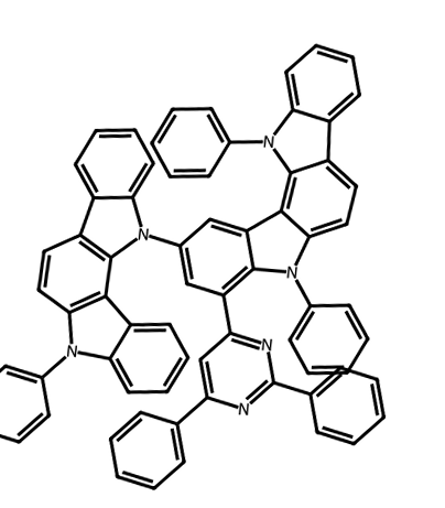 c1ccc(-c2cc(-c3cc(-n4c5ccccc5c5ccc6c(c7ccccc7n6-c6ccccc6)c54)cc4c5c(ccc6c7ccccc7n(-c7ccccc7)c65)n(-c5ccccc5)c34)nc(-c3ccccc3)n2)cc1